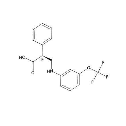 O=C(O)[C@H](CNc1cccc(OC(F)(F)F)c1)c1ccccc1